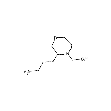 NCCCC1COCCN1CO